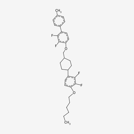 CCCCCCOc1ccc(C2CCC(COc3ccc(-c4ccc(C)cc4)c(F)c3F)CC2)c(F)c1F